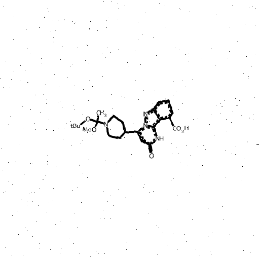 COC(C)(OC(C)(C)C)N1CCC(c2cc(=O)[nH]c3c4c(C(=O)O)cccc4nn23)CC1